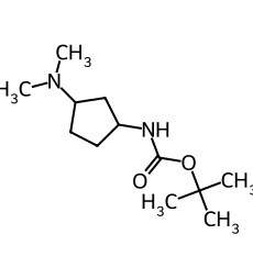 CN(C)C1CCC(NC(=O)OC(C)(C)C)C1